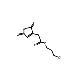 O=C1C=C(CC(=O)OCCCCl)C(=O)O1